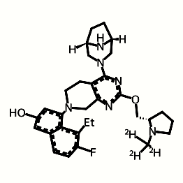 [2H]C([2H])([2H])N1CCC[C@H]1COc1nc2c(c(N3C[C@H]4CC[C@@H](C3)N4)n1)CCN(c1cc(O)cc3ccc(F)c(CC)c13)C2